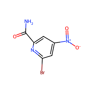 NC(=O)c1cc([N+](=O)[O-])cc(Br)n1